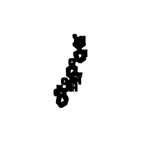 Cn1cc(-c2cc(Oc3ccc(NC(=O)Nc4noc5ccccc45)c(F)c3)ccn2)cn1